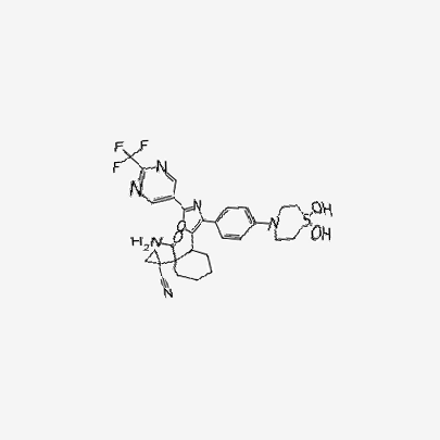 N#CC1(C2(C(N)=O)CCCCC2c2oc(-c3cnc(C(F)(F)F)nc3)nc2-c2ccc(N3CCS(O)(O)CC3)cc2)CC1